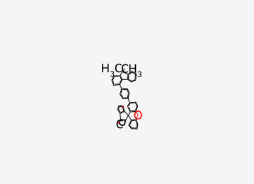 CC1(C)c2ccccc2-c2c(-c3ccc(-c4ccc5c(c4)C4(c6ccccc6O5)c5ccccc5-c5ccccc54)cc3)cccc21